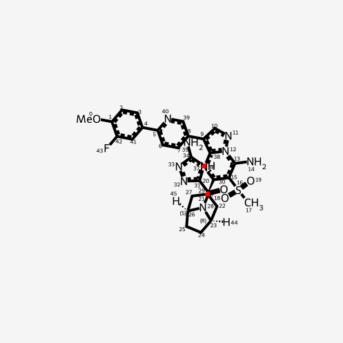 COc1ccc(-c2ccc(-c3cnn4c(N)c(S(C)(=O)=O)c([C@H]5C[C@H]6CC[C@@H](C5)N6C(=O)c5nnc(N)[nH]5)nc34)cn2)cc1F